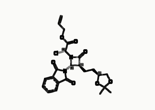 C=CCOC(=O)[C@@H](Cl)N1C(=O)[C@@H](CC[C@H]2COC(C)(C)O2)[C@@H]1N1C(=O)c2ccccc2C1=O